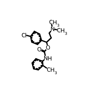 Cc1ccccc1NC(=O)OC(CCN(C)C)c1ccc(Cl)cc1